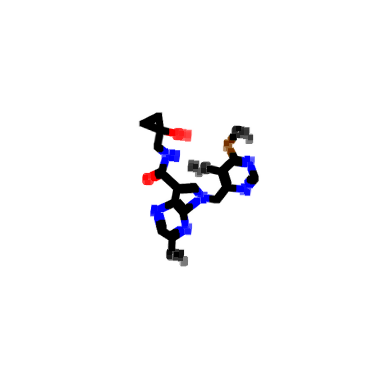 CSc1ncnc(Cn2cc(C(=O)NCC3(O)CC3)c3ncc(C)nc32)c1C